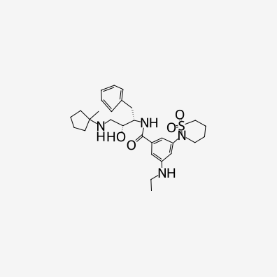 CCNc1cc(C(=O)N[C@@H](Cc2ccccc2)[C@H](O)CNC2(C)CCCC2)cc(N2CCCCS2(=O)=O)c1